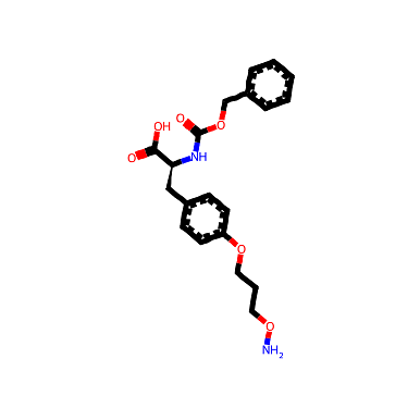 NOCCCOc1ccc(C[C@H](NC(=O)OCc2ccccc2)C(=O)O)cc1